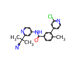 Cc1ccc(C(=O)Nc2ccnc(C(C)(C)C#N)c2)cc1-c1ccnc(Cl)c1